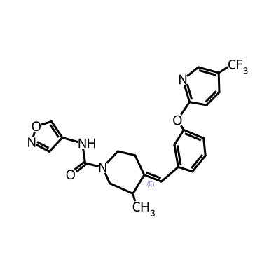 CC1CN(C(=O)Nc2cnoc2)CC/C1=C\c1cccc(Oc2ccc(C(F)(F)F)cn2)c1